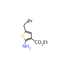 CCOC(=O)c1cc(CC(C)C)sc1N